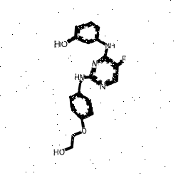 OCCOc1ccc(Nc2ncc(F)c(Nc3cccc(O)c3)n2)cc1